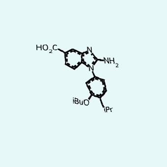 CC(C)COc1cc(-n2c(N)nc3cc(C(=O)O)ccc32)ccc1C(C)C